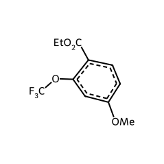 CCOC(=O)c1ccc(OC)cc1OC(F)(F)F